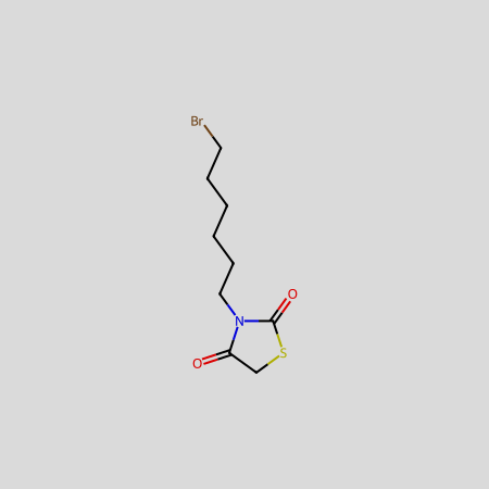 O=C1CSC(=O)N1CCCCCCBr